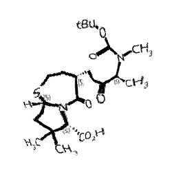 C[C@@H](C(=O)C[C@H]1CCS[C@H]2CC(C)(C)[C@@H](C(=O)O)N2C1=O)N(C)C(=O)OC(C)(C)C